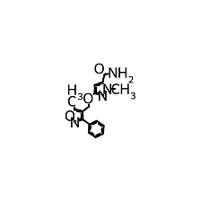 Cc1onc(-c2ccccc2)c1COc1cc(C(N)=O)n(C)n1